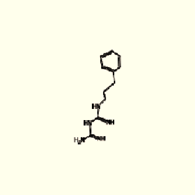 N=C(N)NC(=N)NCCCc1ccccc1